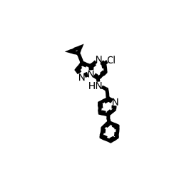 Clc1cc(NCc2ccc(-c3ccccc3)cn2)n2ncc(C3CC3)c2n1